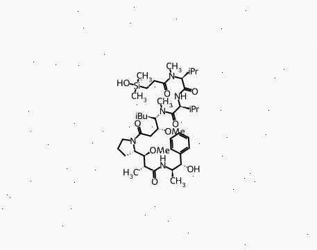 CC[C@H](C)[C@@H]([C@@H](CC(=O)N1CCC[C@H]1[C@@H](OC)[C@@H](C)C(=O)N[C@H](C)[C@@H](O)c1ccccc1)OC)N(C)C(=O)[C@@H](NC(=O)[C@H](C(C)C)N(C)C(=O)CC[Si](C)(C)O)C(C)C